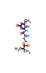 C=C(C)C(=O)OCCNC(=O)Cc1nc(=O)cc(C)[nH]1